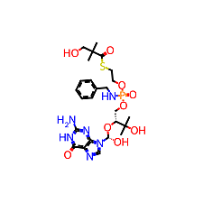 CC(C)(CO)C(=O)SCCOP(=O)(NCc1ccccc1)OC[C@@H](O[C@H](O)n1cnc2c(=O)[nH]c(N)nc21)C(C)(C)O